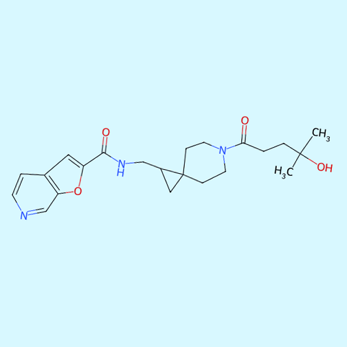 CC(C)(O)CCC(=O)N1CCC2(CC1)CC2CNC(=O)c1cc2ccncc2o1